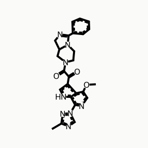 COc1cnc(-n2cnc(C)n2)c2[nH]cc(C(=O)C(=O)N3CCN4C(c5ccccc5)=NCC4C3)c12